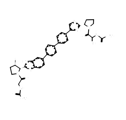 CC[C@@H]1CCN(C(=O)CNC(=O)OC)[C@@H]1c1nc2ccc(-c3ccc(-c4ccc(-c5cnc([C@@H]6CCCN6C(=O)C(NC(=O)OC)C(C)C)[nH]5)cc4)cc3)cc2[nH]1